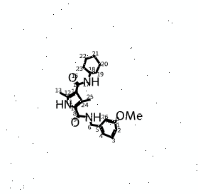 COc1cccc(CNC(=O)c2[nH]c(C)c(C(=O)NC3CCCCC3)c2C)c1